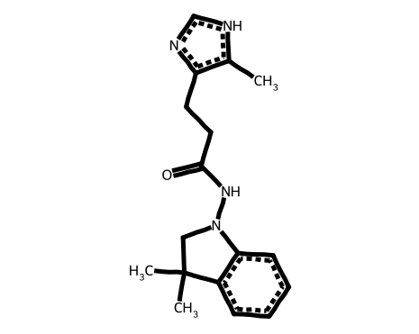 Cc1[nH]cnc1CCC(=O)NN1CC(C)(C)c2ccccc21